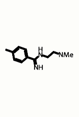 CNCCNC(=N)c1ccc(C)cc1